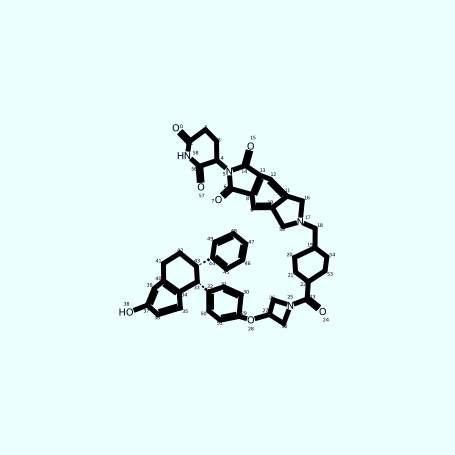 O=C1CCC(N2C(=O)c3cc4c(cc3C2=O)CN(CC2CCC(C(=O)N3CC(Oc5ccc([C@@H]6c7ccc(O)cc7CC[C@@H]6c6ccccc6)cc5)C3)CC2)C4)C(=O)N1